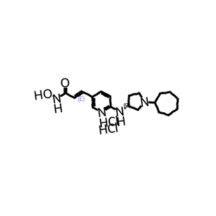 Cl.Cl.O=C(/C=C/c1ccc(N[C@@H]2CCN(C3CCCCCC3)C2)nc1)NO